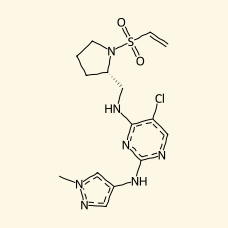 C=CS(=O)(=O)N1CCC[C@H]1CNc1nc(Nc2cnn(C)c2)ncc1Cl